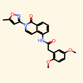 COc1ccc(OC)c(CC(=O)Nc2cccc3c(=O)n(-c4cc(C)on4)ccc23)c1